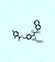 CSNC[C@@H](C(=O)Nc1ccc2cnccc2c1)c1ccc(COC(=O)c2ccc(C)cc2C)cc1